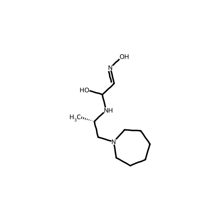 C[C@@H](CN1CCCCCC1)NC(O)/C=N/O